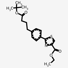 CCOC(=O)c1csc(-c2ccc(CCCC(=O)OC(C)(C)C)cc2)n1